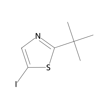 CC(C)(C)c1ncc(I)s1